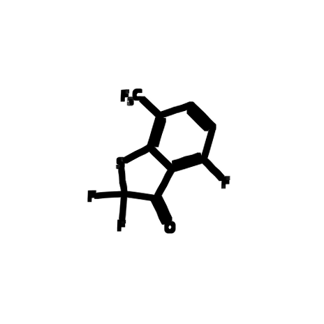 O=C1c2c(F)ccc(C(F)(F)F)c2SC1(F)F